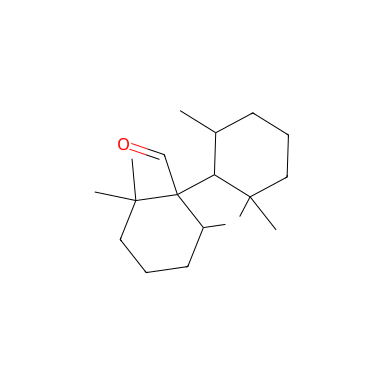 CC1CCCC(C)(C)C1C1(C=O)C(C)CCCC1(C)C